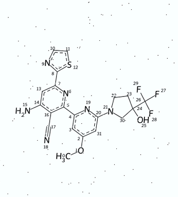 COc1cc(-c2nc(-c3nccs3)cc(N)c2C#N)nc(N2CCC(O)(C(F)(F)F)C2)c1